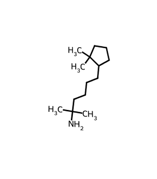 CC(C)(N)CCCCC1CCCC1(C)C